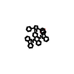 c1ccc(-c2ccc(-c3ccccc3)n2-c2ccc3c(-n4c5ccccc5c5ccccc54)c4ccccc4c(-n4c5ccccc5c5ccccc54)c3c2)cc1